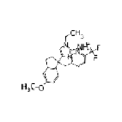 CCn1cc(C2(Cc3ccc(C(F)(F)F)nc3)CCc3cc(OC)ccc32)nc1N